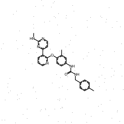 CNc1nccc(-c2cccnc2Oc2ccc(NC(=O)NCc3ccc(C)cc3)cc2C)n1